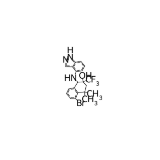 CC1(C)CC(O)(C(F)(F)F)C(Nc2cccc3[nH]ncc23)c2cccc(Br)c21